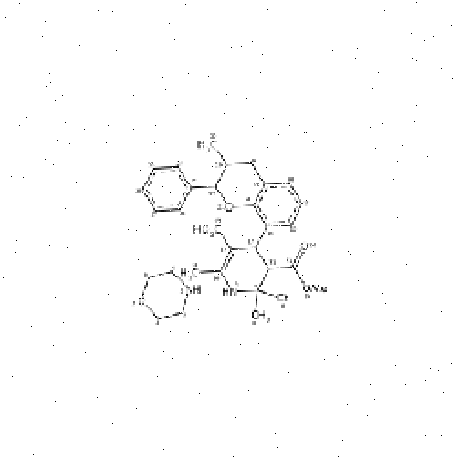 C1COCCN1.CCC1(C)NC(C)=C(C(=O)O)C(c2cccc3c2OC(c2ccccc2)C(C)C3)C1C(=O)OC